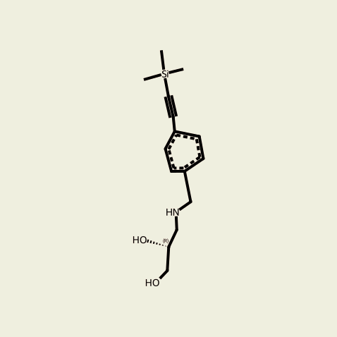 C[Si](C)(C)C#Cc1ccc(CNC[C@@H](O)CO)cc1